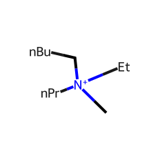 CCCCC[N+](C)(CC)CCC